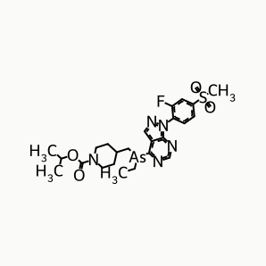 CC[As](CC1CCN(C(=O)OC(C)C)CC1)c1ncnc2c1cnn2-c1ccc(S(C)(=O)=O)cc1F